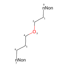 [CH2]CCCCCCCCCCOCCCCCCCCCCCC